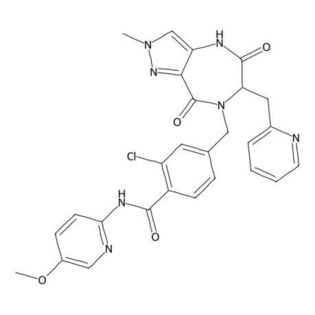 COc1ccc(NC(=O)c2ccc(CN3C(=O)c4nn(C)cc4NC(=O)C3Cc3ccccn3)cc2Cl)nc1